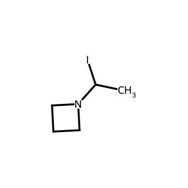 CC(I)N1CCC1